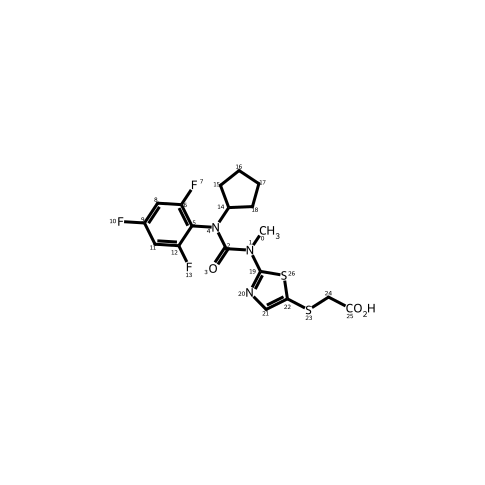 CN(C(=O)N(c1c(F)cc(F)cc1F)C1CCCC1)c1ncc(SCC(=O)O)s1